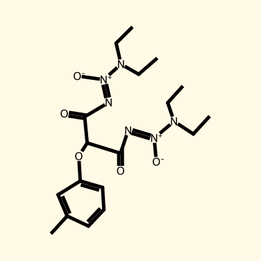 CCN(CC)[N+]([O-])=NC(=O)C(Oc1cccc(C)c1)C(=O)N=[N+]([O-])N(CC)CC